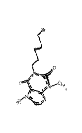 CCCn1cnc2c1c(=O)n(CCCCCBr)c(=O)n2C